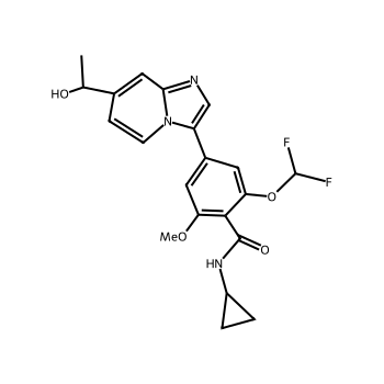 COc1cc(-c2cnc3cc(C(C)O)ccn23)cc(OC(F)F)c1C(=O)NC1CC1